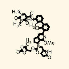 COc1nc(-c2cccc(-c3cccc(NC(=O)c4cn(C)c(=O)n(C)c4=O)c3C)c2Cl)cc2c1[C@@H](N(CC1CCC(=O)N1)C(=O)OCc1oc(=O)oc1C)CC2